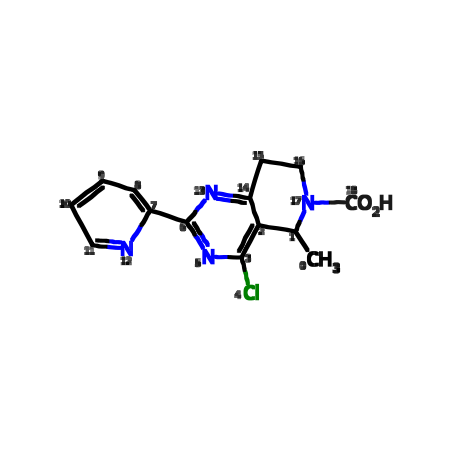 CC1c2c(Cl)nc(-c3ccccn3)nc2CCN1C(=O)O